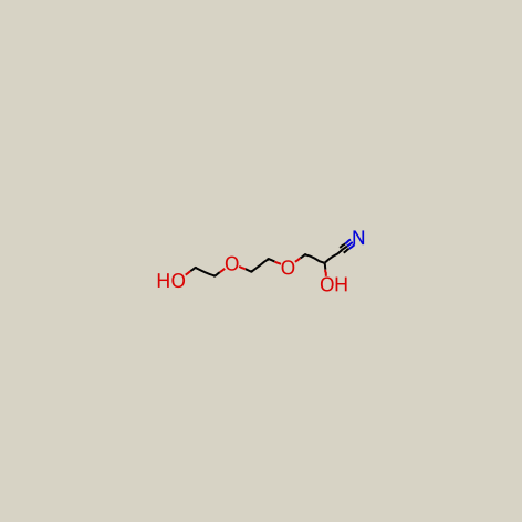 N#CC(O)COCCOCCO